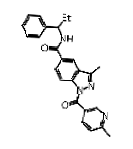 CCC(NC(=O)c1ccc2c(c1)c(C)nn2C(=O)c1ccc(C)nc1)c1ccccc1